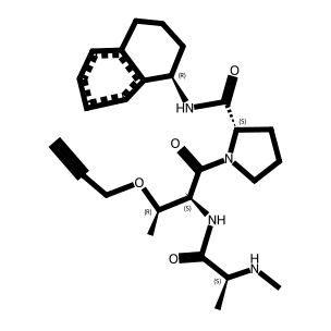 C#CCO[C@H](C)[C@H](NC(=O)[C@H](C)NC)C(=O)N1CCC[C@H]1C(=O)N[C@@H]1CCCc2ccccc21